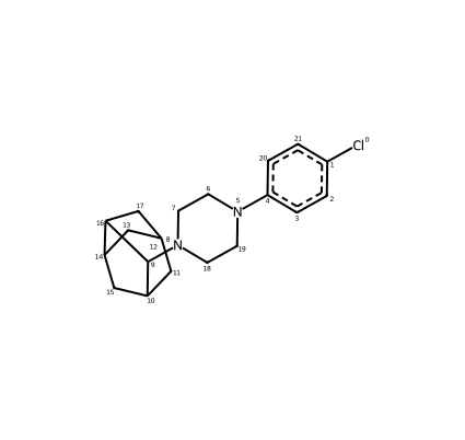 Clc1ccc(N2CCN(C3C4CC5CC(C4)C3C5)CC2)cc1